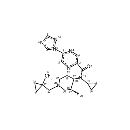 O=C(c1cnc(-n2cncn2)cn1)N(C1CC1)[C@@H]1CCN(CC2(C(F)(F)F)CC2)C[C@@H]1F